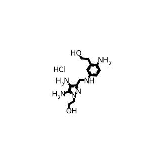 Cl.Nc1ccc(NCc2nn(CCO)c(N)c2N)cc1CCO